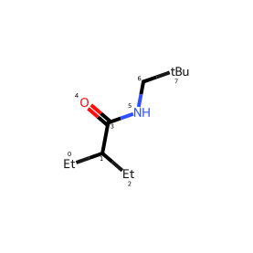 CCC(CC)C(=O)NCC(C)(C)C